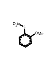 COc1ccccc1S[N+](=O)[O-]